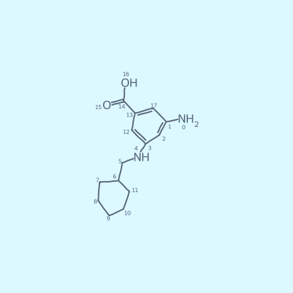 Nc1cc(NCC2CCCCC2)cc(C(=O)O)c1